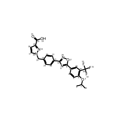 CC(C)Oc1ccc(-c2nc(-c3ccc(Cn4ccc(C(=O)O)n4)cc3)no2)cc1C(F)(F)F